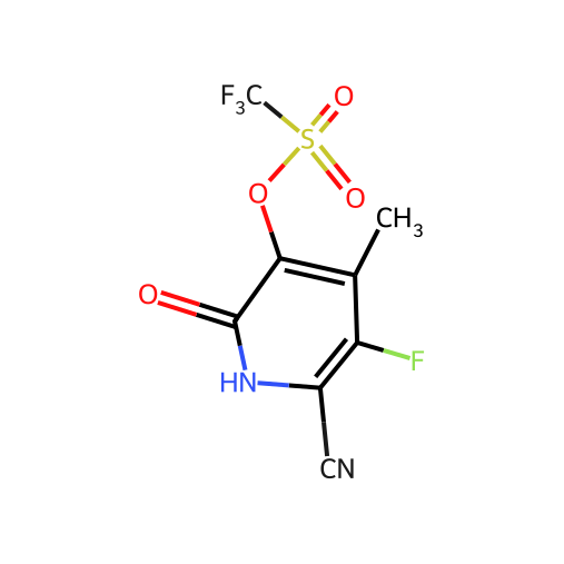 Cc1c(F)c(C#N)[nH]c(=O)c1OS(=O)(=O)C(F)(F)F